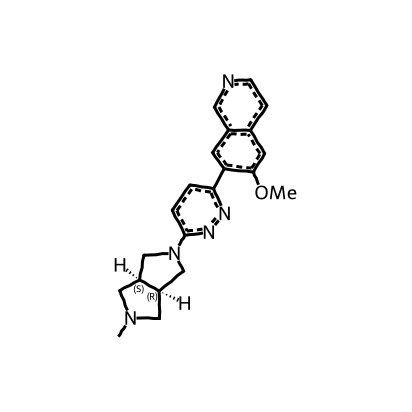 COc1cc2ccncc2cc1-c1ccc(N2C[C@H]3CN(C)C[C@H]3C2)nn1